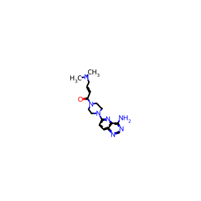 CN(C)C/C=C/C(=O)N1CCN(c2ccc3ncnc(N)c3n2)CC1